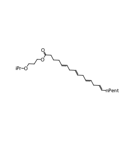 CCCCCC=CCC=CCC=CCC=CCCCC(=O)OCCCOC(C)C